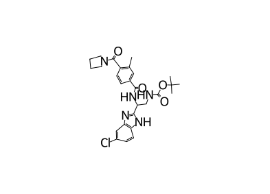 Cc1cc(C(=O)NC(CNC(=O)OC(C)(C)C)c2nc3cc(Cl)ccc3[nH]2)ccc1C(=O)N1CCCC1